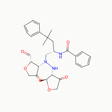 C[C@@H]1OCC(=O)[C@H]1NN(C[C@H](CC(C)(C)c1ccccc1)NC(=O)c1ccccc1)[C@@H]1C(=O)CO[C@@H]1C=O